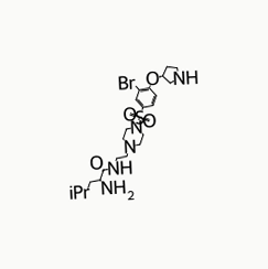 CC(C)C[C@H](N)C(=O)NCCN1CCN(S(=O)(=O)c2ccc(O[C@H]3CCNC3)c(Br)c2)CC1